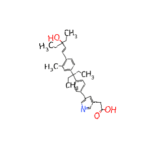 CCC(O)(C=Cc1ccc(C(CC)(CC)c2ccc(-c3cncc(CC(=O)O)c3)cc2)cc1C)CC